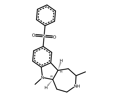 CC1C[C@@H]2c3cc(S(=O)(=O)c4ccccc4)ccc3N(C)[C@@H]2CCN1